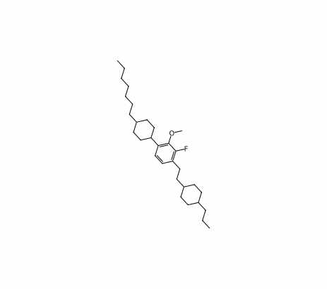 CCCCCCCC1CCC(c2ccc(CCC3CCC(CCC)CC3)c(F)c2OC)CC1